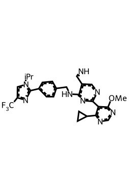 COc1ncnc(C2CC2)c1-c1ncc(C=N)c(NCc2ccc(-c3nc(C(F)(F)F)cn3C(C)C)cc2)n1